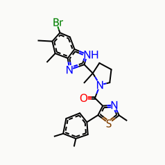 Cc1nc(C(=O)N2CCCC2(C)c2nc3c(C)c(C)c(Br)cc3[nH]2)c(-c2ccc(C)c(C)c2)s1